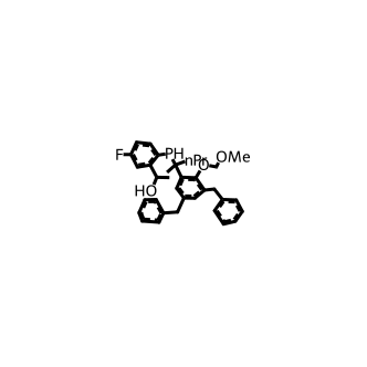 CCCC(C)(Pc1ccc(F)cc1C(C)O)c1cc(Cc2ccccc2)cc(Cc2ccccc2)c1OCOC